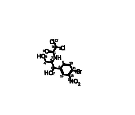 O=C(NC(CO)C(O)c1ccc(Br)c([N+](=O)[O-])c1)C(Cl)Cl